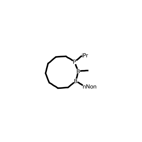 CCCCCCCCCB1CCCCCCCP(C(C)C)B1C